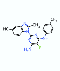 Cc1nc2cc(C#N)ccc2n1-c1nc(N)c(F)c(Nc2ccc(C(F)(F)F)cc2)n1